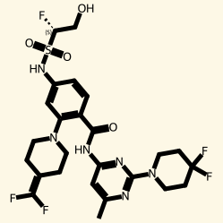 Cc1cc(NC(=O)c2ccc(NS(=O)(=O)[C@H](F)CO)cc2N2CCC(=C(F)F)CC2)nc(N2CCC(F)(F)CC2)n1